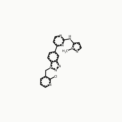 Cn1nccc1Nc1nccc(-c2ccc3c(c2)nnn3Cc2cccnc2Cl)n1